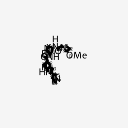 CO[C@H]1CCN(CC(=O)Nc2cnc(F)c(NC(=O)c3cnc4[nH]c(-c5cnn(C)c5)cc4c3)c2)C1